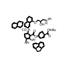 CC(C)NCC(O)COc1cccc2ccccc12.CCCCOC(=O)c1ccc(OC(=O)c2c(C(=O)O)ccc(CCC)c2CCC)cc1.c1cc2c3c(cccc3c1)CC2.c1ccc2ccccc2c1